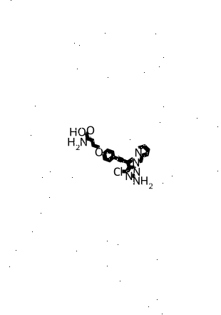 Nc1nc(Cl)c2c(C#Cc3ccc(OCCC[C@H](N)C(=O)O)cc3)cn(Cc3ccccn3)c2n1